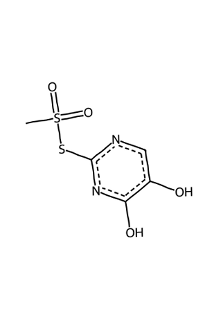 CS(=O)(=O)Sc1ncc(O)c(O)n1